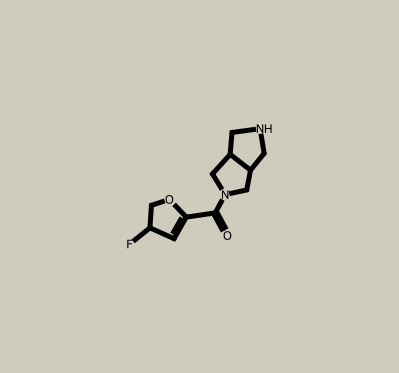 O=C(C1=CC(F)CO1)N1CC2CNCC2C1